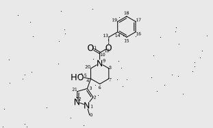 Cn1cc(C2(O)CCCN(C(=O)OCc3ccccc3)C2)cn1